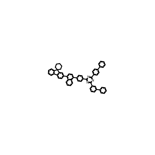 c1ccc(-c2ccc(-c3nc(-c4ccc(-c5ccc(-c6ccc7c(c6)C6(CCCCC6)c6ccccc6-7)c6ccccc56)cc4)nc(-c4cccc(-c5ccccc5)c4)n3)cc2)cc1